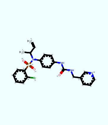 C=CC(C)N(c1ccc(NC(=O)NCc2cccnc2)cc1)S(=O)(=O)c1ccccc1Br